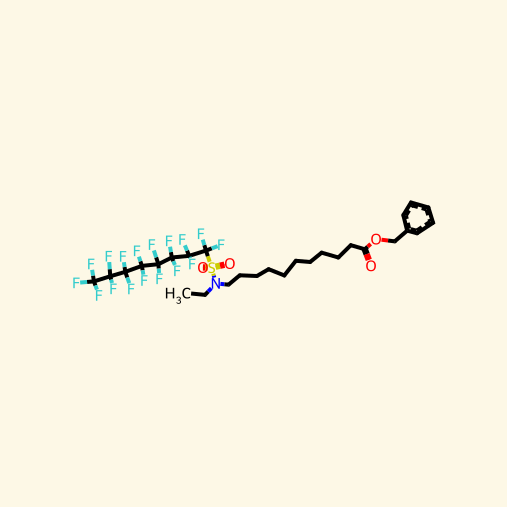 CCN(CCCCCCCCCCC(=O)OCc1ccccc1)S(=O)(=O)C(F)(F)C(F)(F)C(F)(F)C(F)(F)C(F)(F)C(F)(F)C(F)(F)C(F)(F)F